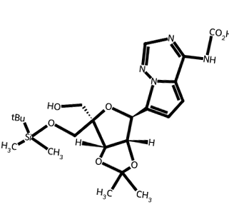 CC1(C)O[C@H]2[C@H](c3ccc4c(NC(=O)O)ncnn34)O[C@](CO)(CO[Si](C)(C)C(C)(C)C)[C@H]2O1